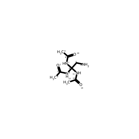 CC(=O)NC(CN)(NC(C)=O)NC(C)=O